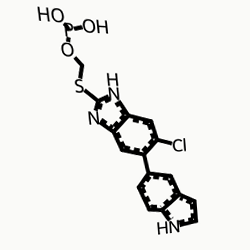 OP(O)OCSc1nc2cc(-c3ccc4[nH]ccc4c3)c(Cl)cc2[nH]1